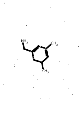 CC1=CC(C)CC(CN)=C1